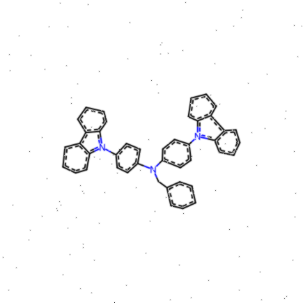 c1ccc(CN(c2ccc(-n3c4ccccc4c4ccccc43)cc2)c2ccc(-n3c4ccccc4c4ccccc43)cc2)cc1